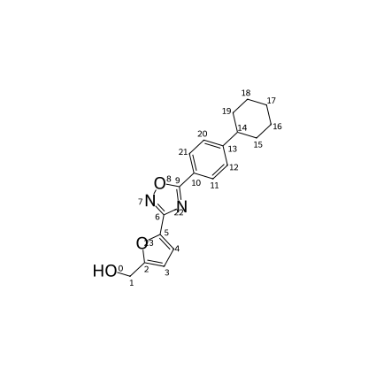 OCc1ccc(-c2noc(-c3ccc(C4CCCCC4)cc3)n2)o1